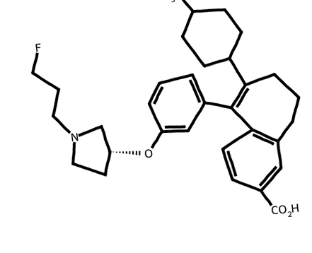 CC1CCC(C2=C(c3cccc(O[C@@H]4CCN(CCCF)C4)c3)c3ccc(C(=O)O)cc3CCC2)CC1